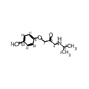 CC(C)NCC(=O)COc1ccc(O)cc1